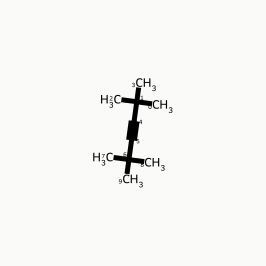 CC(C)(C)C#CC(C)(C)C